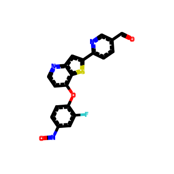 O=Cc1ccc(-c2cc3nccc(Oc4ccc(N=O)cc4F)c3s2)nc1